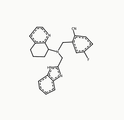 N#Cc1ccc(F)cc1CN(Cc1nc2ccccc2[nH]1)C1CCCc2cccnc21